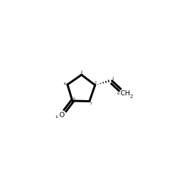 C=C[C@H]1CCC(=O)C1